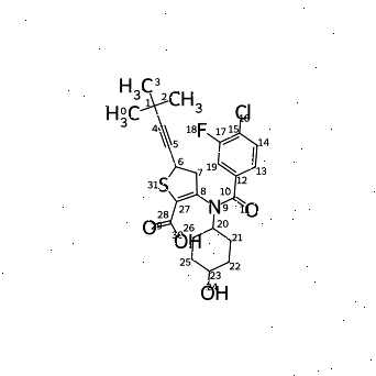 CC(C)(C)C#CC1CC(N(C(=O)c2ccc(Cl)c(F)c2)C2CCC(O)CC2)=C(C(=O)O)S1